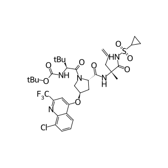 C=CC[C@@](C)(NC(=O)[C@@H]1C[C@@H](Oc2cc(C(F)(F)F)nc3c(Cl)cccc23)CN1C(=O)[C@@H](NC(=O)OC(C)(C)C)C(C)(C)C)C(=O)NS(=O)(=O)C1CC1